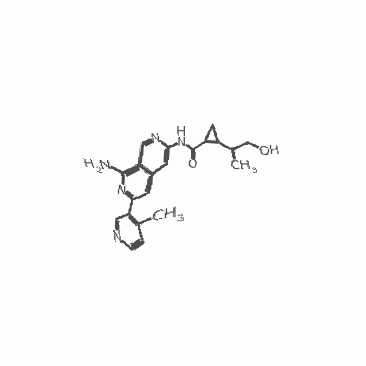 Cc1ccncc1-c1cc2cc(NC(=O)C3CC3C(C)CO)ncc2c(N)n1